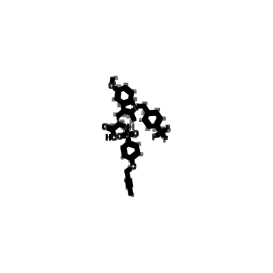 CC#CCOc1ccc(S(=O)(=O)N[C@@H](Cc2c(C)n(Cc3ccc(C(F)(F)F)cc3)c3ccc(OC)cc23)C(=O)O)cc1